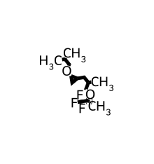 CC(C)COC1CC1CC(C)CO[C@@H](C)C(F)(F)F